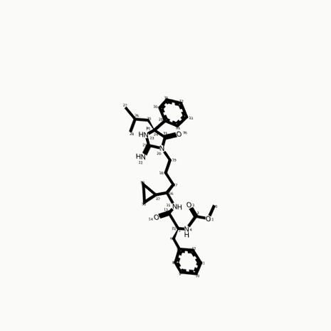 COC(=O)N[C@@H](Cc1ccccc1)C(=O)NC(CCCN1C(=N)N[C@](CC(C)C)(c2ccccc2)C1=O)C1CC1